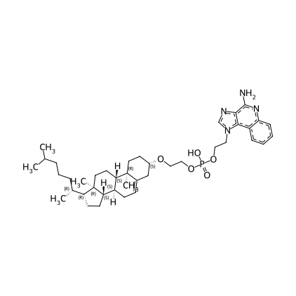 CC(C)CCC[C@@H](C)[C@H]1CC[C@H]2[C@@H]3CC=C4C[C@@H](OCCOP(=O)(O)OCCn5cnc6c(N)nc7ccccc7c65)CC[C@]4(C)[C@H]3CC[C@]12C